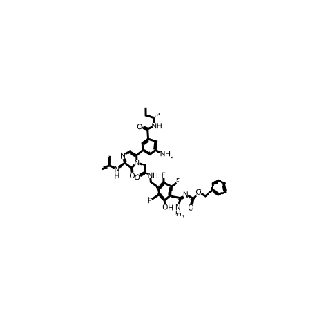 CC[C@H](C)NC(=O)c1cc(N)cc(-c2cnc(NC(C)C)c(=O)n2CC(=O)NCc2c(F)c(O)c(/C(N)=N/C(=O)OCc3ccccc3)c(F)c2F)c1